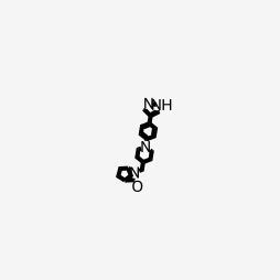 O=C1C2CCC(C2)N1CC1CCN(c2ccc(-c3cn[nH]c3)cc2)CC1